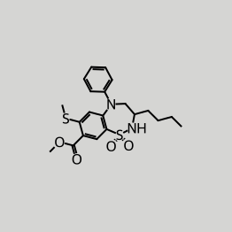 CCCCC1CN(c2ccccc2)c2cc(SC)c(C(=O)OC)cc2S(=O)(=O)N1